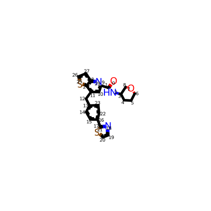 O=C(NC1CCCOC1)c1cc(Cc2ccc(-c3nccs3)cc2)c2sccc2n1